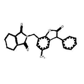 Cc1cc(CN2C(=O)C3=C(CCCC3)C2=O)c2c(c1)C(c1ccccc1)C(=O)O2